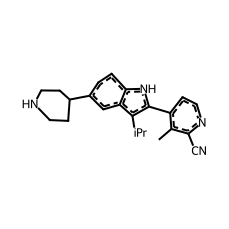 Cc1c(-c2[nH]c3ccc(C4CCNCC4)cc3c2C(C)C)ccnc1C#N